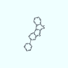 c1ccc(-c2ccc3c(c2)sc2sc4ccccc4c23)cc1